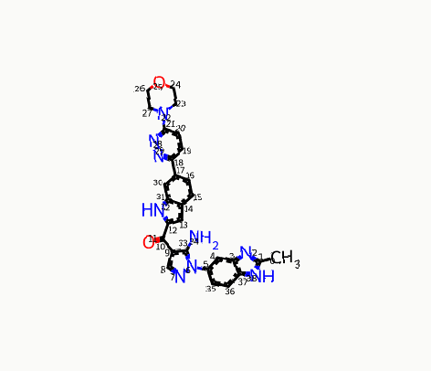 Cc1nc2cc(-n3ncc(C(=O)c4cc5ccc(-c6ccc(N7CCOCC7)nn6)cc5[nH]4)c3N)ccc2[nH]1